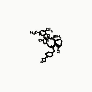 Cc1cc(C(F)(F)F)cc(N2C(=O)CC3CN(CC4CCN(C5COC5)CC4)c4c(Cl)cccc4N(C)C(=O)[C@H]32)n1